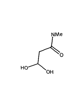 CNC(=O)CC(O)O